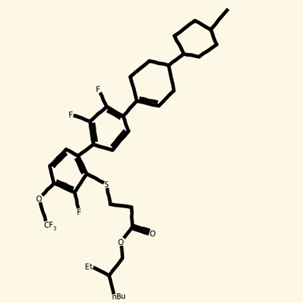 CCCCC(CC)COC(=O)CCSc1c(-c2ccc(C3=CCC(C4CCC(C)CC4)CC3)c(F)c2F)ccc(OC(F)(F)F)c1F